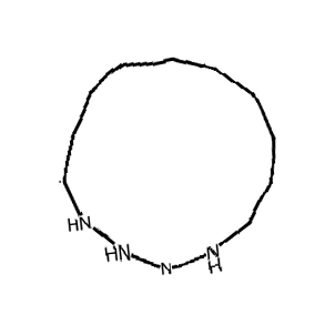 [CH]1CCCCCCCCCN[N]NN1